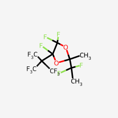 CC(F)(F)C1(C)OC(F)(F)C(F)(C(C(F)(F)F)(C(F)(F)F)C(F)(F)F)O1